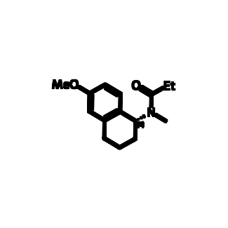 CCC(=O)N(C)[C@@H]1CCCc2cc(OC)ccc21